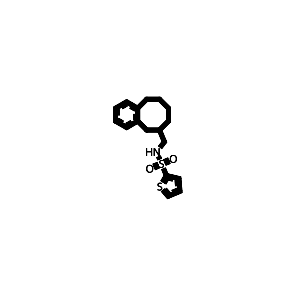 O=S(=O)(NCC1CCCCc2ccccc2C1)c1cccs1